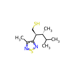 Cc1nsnc1[C@@H](CS)[C@H](C)C(C)C